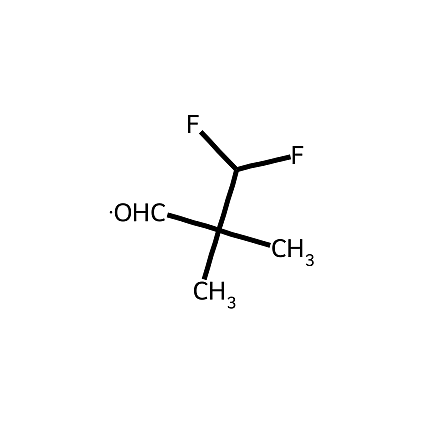 CC(C)([C]=O)C(F)F